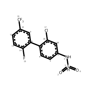 O=[SH](=O)Nc1ccc(-c2cc(C(F)(F)F)ccc2F)c(Cl)c1